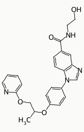 CC(COc1ccccn1)Oc1ccc(-n2cnc3cc(C(=O)NCCO)ccc32)cc1